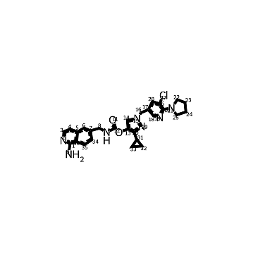 Nc1nccc2cc(CNC(=O)Oc3cn(Cc4cnc(N5CCCC5)c(Cl)c4)nc3C3CC3)ccc12